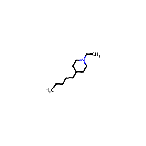 CCCCCC1CCN(CC)CC1